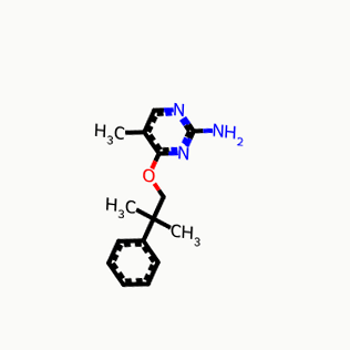 Cc1cnc(N)nc1OCC(C)(C)c1ccccc1